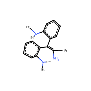 CCCC(N)=C(c1ccccc1N(CC)CC)c1ccccc1N(CC)CC